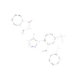 O=C(c1ccccc1Br)c1cc(C(F)(F)F)ccc1-n1cnnc1CN1C(=O)c2ccccc2C1=O